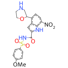 COc1ccc(S(=O)(=O)NC(=O)c2cc3c(C4CNCCO4)ccc([N+](=O)[O-])c3[nH]2)cc1